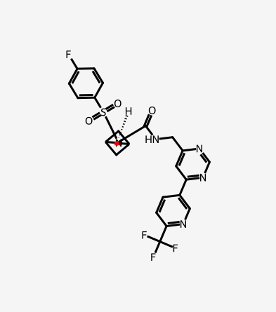 O=C(NCc1cc(-c2ccc(C(F)(F)F)nc2)ncn1)[C@@H]1C2CC(C2)N1S(=O)(=O)c1ccc(F)cc1